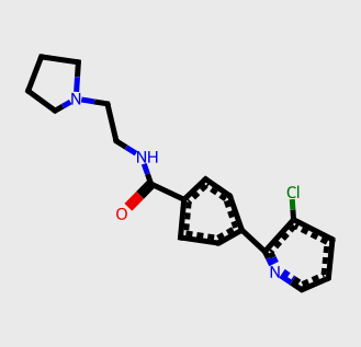 O=C(NCCN1CCCC1)c1ccc(-c2ncccc2Cl)cc1